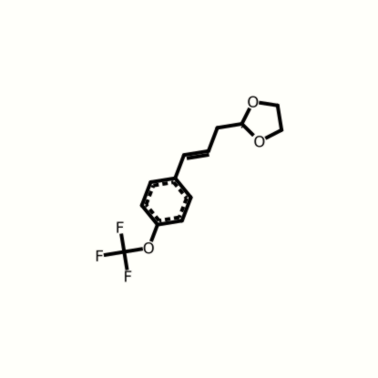 FC(F)(F)Oc1ccc(C=CC[C]2OCCO2)cc1